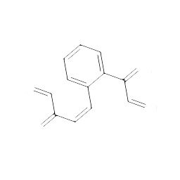 C=CC(=C)/C=C\c1ccccc1C(=C)C=C